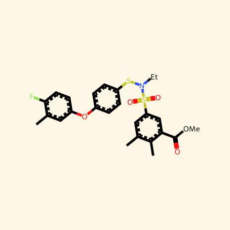 CCN(Sc1ccc(Oc2ccc(F)c(C)c2)cc1)S(=O)(=O)c1cc(C)c(C)c(C(=O)OC)c1